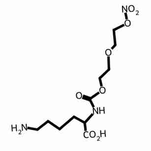 NCCCCC(NC(=O)OCCOCCO[N+](=O)[O-])C(=O)O